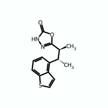 C[C@H](c1n[nH]c(=O)o1)[C@H](C)c1cccc2sccc12